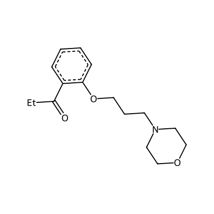 CCC(=O)c1ccccc1OCCCN1CCOCC1